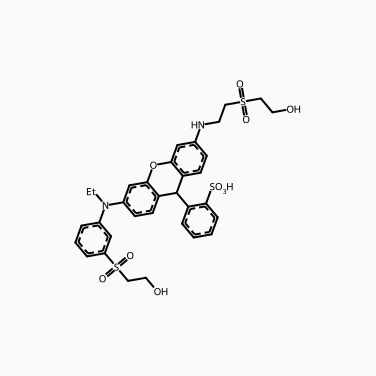 CCN(c1cccc(S(=O)(=O)CCO)c1)c1ccc2c(c1)Oc1cc(NCCS(=O)(=O)CCO)ccc1C2c1ccccc1S(=O)(=O)O